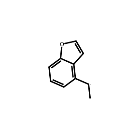 C[CH]c1cccc2occc12